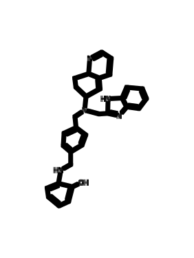 Oc1ccccc1NCc1ccc(CN(Cc2nc3ccccc3[nH]2)C2C=C3C=CC=NC3CC2)cc1